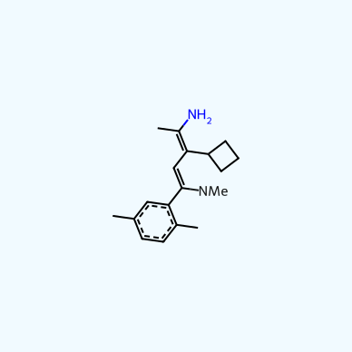 CN/C(=C\C(=C(/C)N)C1CCC1)c1cc(C)ccc1C